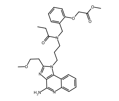 CCC(=O)N(CCCn1c(CCOC)nc2c(N)nc3ccccc3c21)Cc1ccccc1OCC(=O)OC